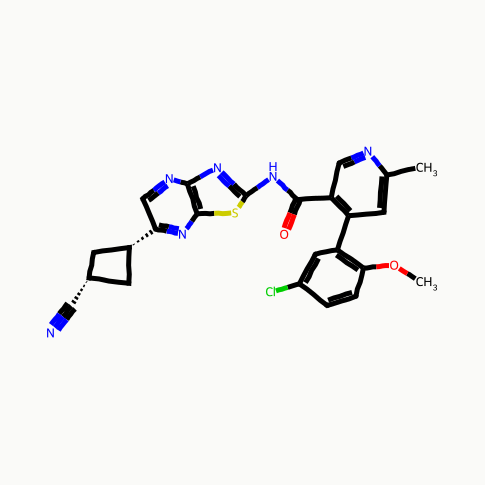 COc1ccc(Cl)cc1-c1cc(C)ncc1C(=O)Nc1nc2ncc([C@H]3C[C@@H](C#N)C3)nc2s1